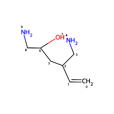 C=CC(CN)CC(O)CN